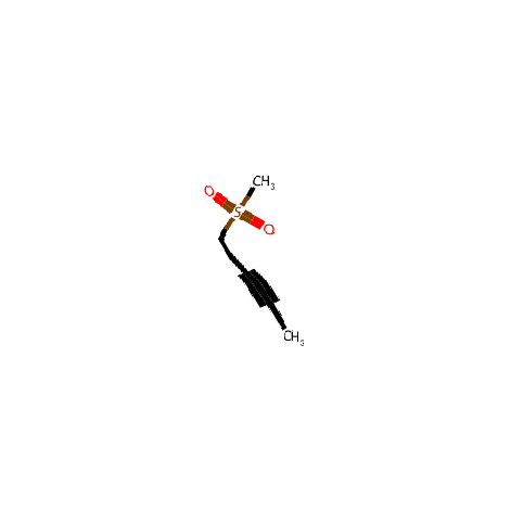 CC#CCS(C)(=O)=O